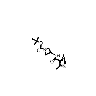 Cc1ncn(C)c1C(=O)NC1CN(C(=O)OC(C)(C)C)C1